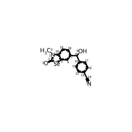 Cn1c(=O)[se]c2cc(C(O)c3ccc(C#N)cc3)ccc21